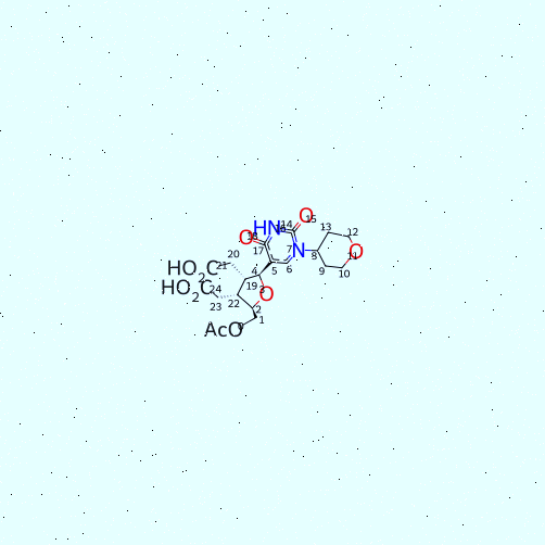 CC(=O)OC[C@@H]1O[C@H](c2cn(C3CCOCC3)c(=O)[nH]c2=O)[C@@H](CC(=O)O)[C@H]1CC(=O)O